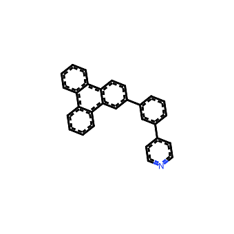 c1cc(-c2ccncc2)cc(-c2ccc3c4ccccc4c4ccccc4c3c2)c1